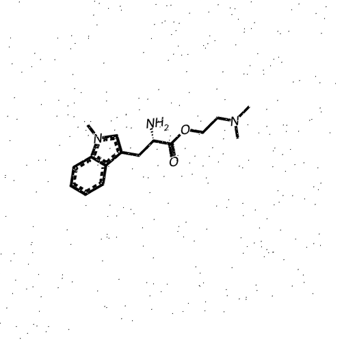 CN(C)CCOC(=O)[C@@H](N)Cc1cn(C)c2ccccc12